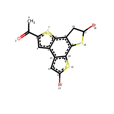 CC(=O)c1cc2c(s1)c1c(c3sc(Br)cc32)SC(Br)C1